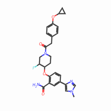 Cn1cnc(-c2ccc(OC3CCN(C(=O)Cc4ccc(OC5CC5)cc4)CC3F)c(C(N)=O)c2)c1